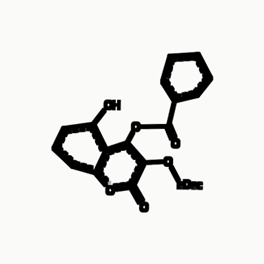 CCCCCCCCCCOc1c(OC(=O)c2ccccc2)c2c(O)cccc2oc1=O